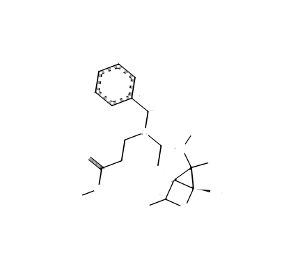 COC(=O)CCN(CC[C@@]12C(C)O[C@H]1C2(C)OC)Cc1ccccc1